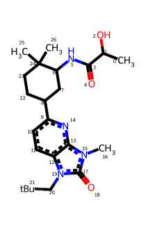 CC(O)C(=O)NC1CC(c2ccc3c(n2)n(C)c(=O)n3CC(C)(C)C)CCC1(C)C